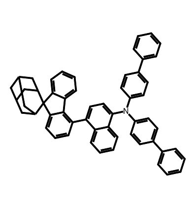 c1ccc(-c2ccc(N(c3ccc(-c4ccccc4)cc3)c3ccc(-c4cccc5c4-c4ccccc4C54C5CC6CC(C5)CC4C6)c4ccccc34)cc2)cc1